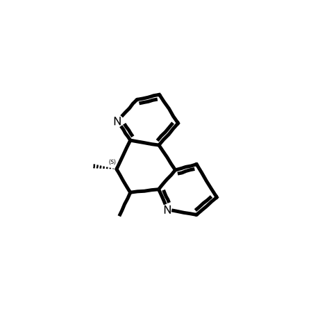 CC1c2ncccc2-c2cccnc2[C@H]1C